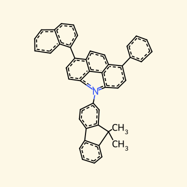 CC1(C)c2ccccc2-c2ccc(-n3c4ccc(-c5ccccc5)c5ccc6c(-c7cccc8ccccc78)ccc3c6c54)cc21